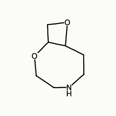 C1COC2COC2CCN1